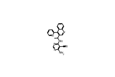 CC(Nc1ncnc(N)c1C#N)c1cnc2ccccc2c1-c1ccccn1